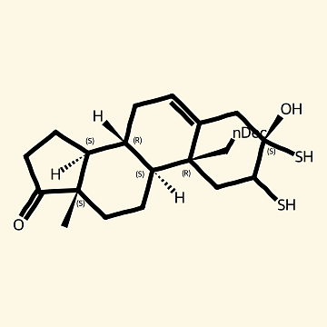 CCCCCCCCCCC[C@]12CC(S)[C@@](O)(S)CC1=CC[C@@H]1[C@@H]2CC[C@]2(C)C(=O)CC[C@@H]12